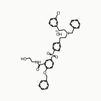 O=C(NCCO)c1cc(S(=O)(=O)c2ccc(CCN(Cc3ccccc3)C[C@H](O)c3cccc(Cl)c3)cc2)ccc1OCc1ccccc1